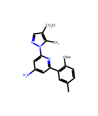 CCOC(=O)c1cnn(-c2cc(N)cc(-c3cc(C)ccc3OC)n2)c1C(F)(F)F